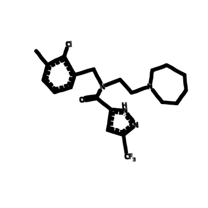 Cc1cccc(CN(CCN2CCCCCC2)C(=O)c2cc(C(F)(F)F)n[nH]2)c1Cl